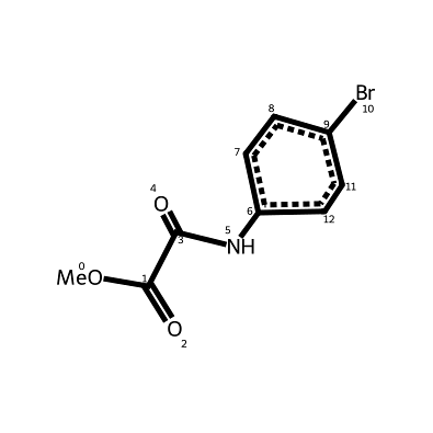 COC(=O)C(=O)Nc1ccc(Br)cc1